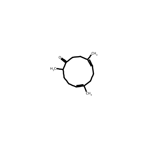 CC1=CCCC(C)C(=O)CCC(C)=CCC1